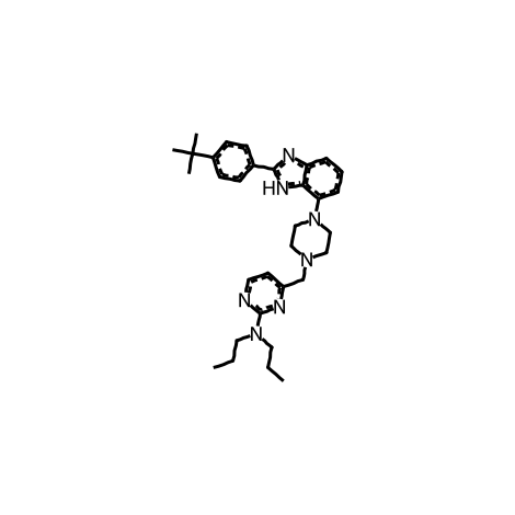 CCCN(CCC)c1nccc(CN2CCN(c3cccc4nc(-c5ccc(C(C)(C)C)cc5)[nH]c34)CC2)n1